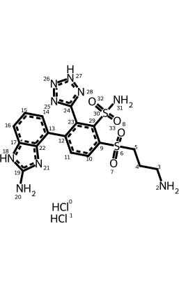 Cl.Cl.NCCCS(=O)(=O)c1ccc(-c2cccc3[nH]c(N)nc23)c(-c2nn[nH]n2)c1S(N)(=O)=O